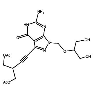 CC(=O)OCC(C#Cc1nn(COC(CO)CO)c2nc(N)[nH]c(=O)c12)COC(C)=O